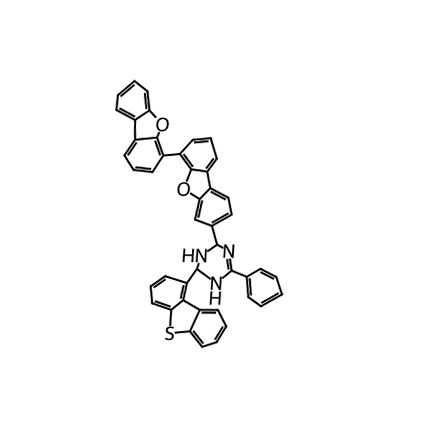 c1ccc(C2=NC(c3ccc4c(c3)oc3c(-c5cccc6c5oc5ccccc56)cccc34)NC(c3cccc4sc5ccccc5c34)N2)cc1